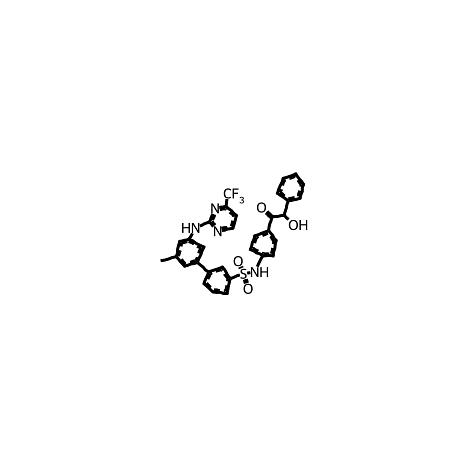 Cc1cc(Nc2nccc(C(F)(F)F)n2)cc(-c2cccc(S(=O)(=O)Nc3ccc(C(=O)C(O)c4ccccc4)cc3)c2)c1